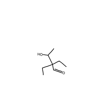 CCC(C=O)(CC)C(C)O